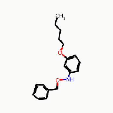 CCCCCOc1cccc(NOCc2ccccc2)c1